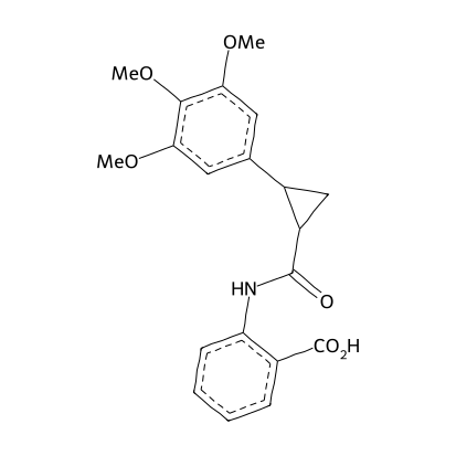 COc1cc(C2CC2C(=O)Nc2ccccc2C(=O)O)cc(OC)c1OC